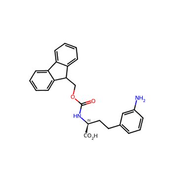 Nc1cccc(CC[C@H](NC(=O)OCC2c3ccccc3-c3ccccc32)C(=O)O)c1